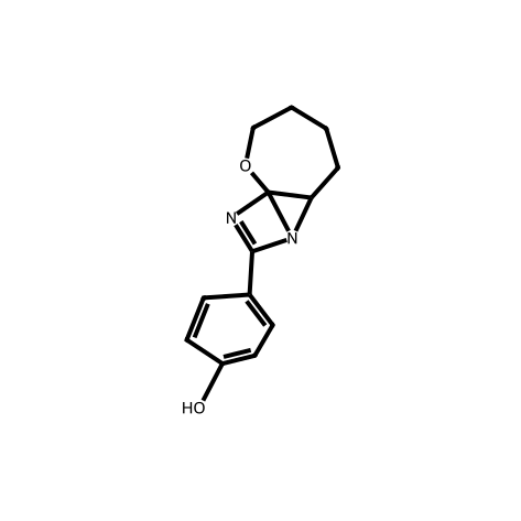 Oc1ccc(C2=NC34OCCCCC3N24)cc1